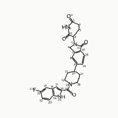 O=C1CCC(N2Cc3cc(C4CCN(C(=O)c5cc6cc(F)ccc6[nH]5)CC4)ccc3C2=O)C(=O)N1